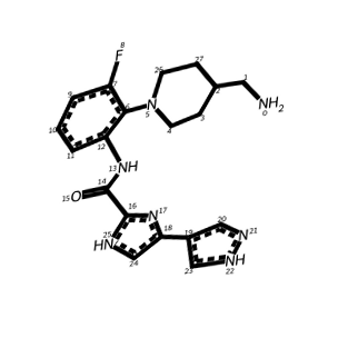 NCC1CCN(c2c(F)cccc2NC(=O)c2nc(-c3cn[nH]c3)c[nH]2)CC1